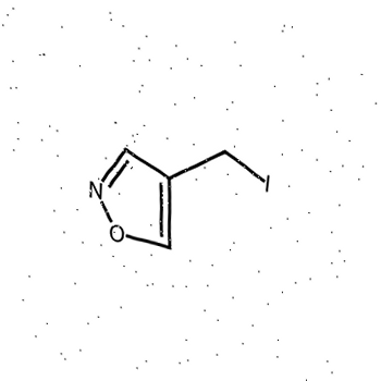 ICc1cnoc1